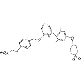 Cc1cc(OC2CCS(=O)(=O)CC2)cc(C)c1-c1cccc(OCc2ccc(CCC(=O)O)cc2)n1